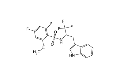 COc1cc(F)cc(F)c1S(=O)(=O)NC(Cc1c[nH]c2ccccc12)C(F)(F)F